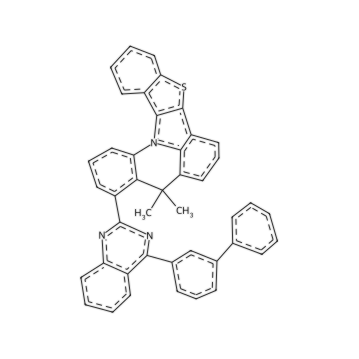 CC1(C)c2c(-c3nc(-c4cccc(-c5ccccc5)c4)c4ccccc4n3)cccc2-n2c3c1cccc3c1sc3ccccc3c12